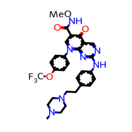 CONC(=O)c1cn(-c2ccc(OC(F)(F)F)cc2)c2nc(Nc3ccc(CCN4CCN(C)CC4)cc3)ncc2c1=O